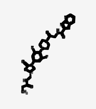 CCC(=O)NC[C@H]1CN(c2cc(F)c(N3CCN(C(=O)CNC(=O)c4cn5cccnc5n4)CC3)c(F)c2)C(=O)O1